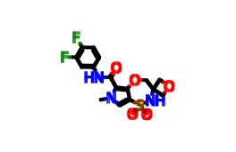 Cn1cc2c(c1C(=O)Nc1ccc(F)c(F)c1)OCC1(COC1)NS2(=O)=O